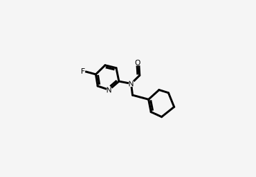 O=CN(CC1=CCCCC1)c1ccc(F)cn1